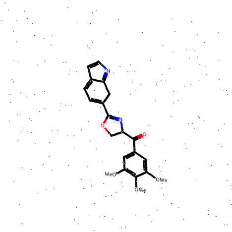 COc1cc(C(=O)C2COC(C3=CC=C4C=CN=C4C3)=N2)cc(OC)c1OC